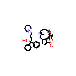 C=C1C(=O)O[C@H]2[C@H]1CC/C(C)=C/CC[C@@]1(C)O[C@@H]21.OC(CCCN1CCCCC1)(c1ccccc1)c1ccccc1